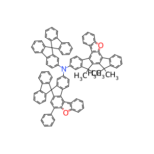 CC1(C)c2ccccc2-c2c1c1c(c3c2oc2ccccc23)-c2ccc(N(c3ccc4c(c3)C3(c5ccccc5-c5ccccc53)c3ccccc3-4)c3ccc4c(c3)C3(c5ccccc5-c5ccccc53)c3cc(-c5ccccc5)c5oc6ccccc6c5c3-4)cc2C1(C)C